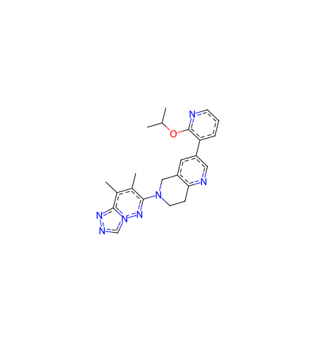 Cc1c(N2CCc3ncc(-c4cccnc4OC(C)C)cc3C2)nn2cnnc2c1C